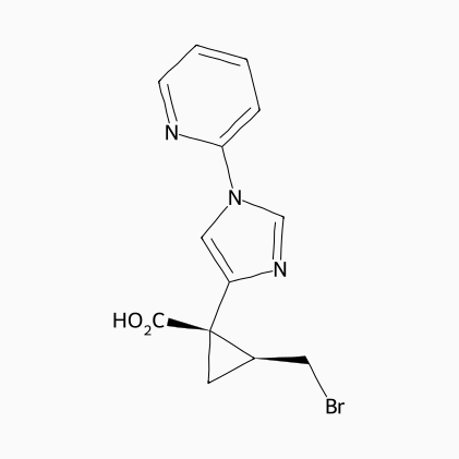 O=C(O)[C@]1(c2cn(-c3ccccn3)cn2)C[C@@H]1CBr